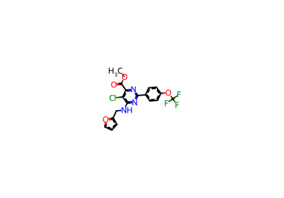 COC(=O)c1nc(-c2ccc(OC(F)(F)F)cc2)nc(NCc2ccco2)c1Cl